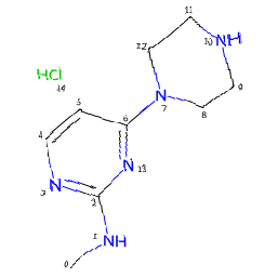 CNc1nccc(N2CCNCC2)n1.Cl